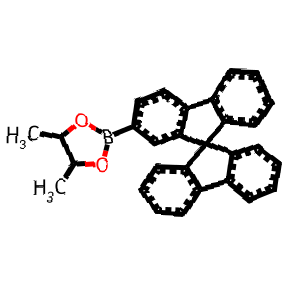 CC1OB(c2ccc3c(c2)C2(c4ccccc4-c4ccccc42)c2ccccc2-3)OC1C